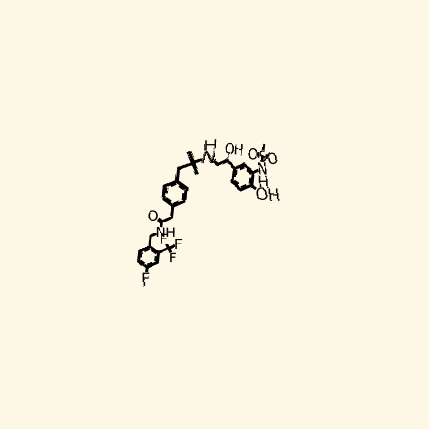 CC(C)(Cc1ccc(CC(=O)NCc2ccc(F)cc2C(F)(F)F)cc1)NC[C@H](O)c1ccc(O)c(NS(C)(=O)=O)c1